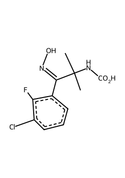 CC(C)(NC(=O)O)C(=NO)c1cccc(Cl)c1F